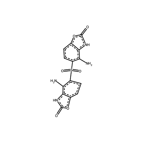 Nc1c(S(=O)(=O)c2ccc3oc(=O)[nH]c3c2N)ccc2oc(=O)[nH]c12